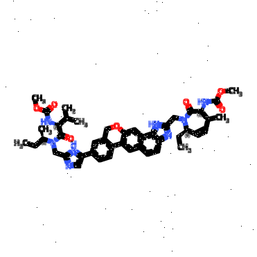 CC[C@H](C)N(Cc1ncc(-c2ccc3c(c2)COc2cc4c(ccc5nc(CN6C(=O)[C@@H](NC(=O)OC)C(C)C#C[C@H]6CC)[nH]c54)cc2-3)[nH]1)C(=O)[C@@H](NC(=O)OC)C(C)C